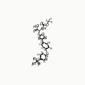 CC(C)(C)OC(=O)NC(Cc1nc(-c2ccc(Oc3ccc(C(F)(F)F)cn3)cc2)no1)C(=O)O